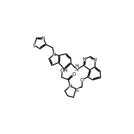 O=C(CO)N1CCC[C@@H]1COc1cccc2ncnc(Nc3ccc4c(ccn4Cc4cscn4)c3)c12